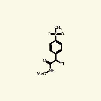 CONC(=O)C(Cl)c1ccc(S(C)(=O)=O)cc1